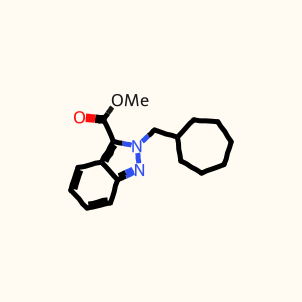 COC(=O)c1c2ccccc2nn1CC1CCCCCC1